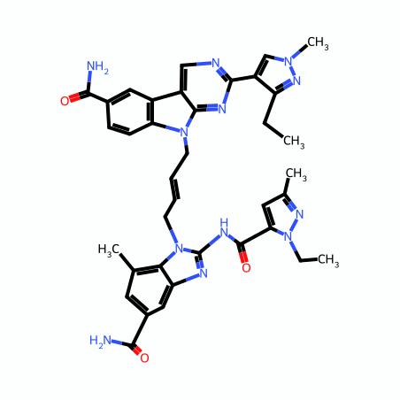 CCc1nn(C)cc1-c1ncc2c3cc(C(N)=O)ccc3n(CC=CCn3c(NC(=O)c4cc(C)nn4CC)nc4cc(C(N)=O)cc(C)c43)c2n1